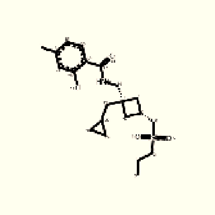 CCCS(=O)(=O)C[C@H]1C[C@](CNC(=O)c2ccc(C)cc2Cl)(CC2CC2)C1